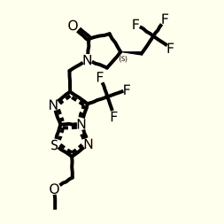 COCc1nn2c(C(F)(F)F)c(CN3C[C@H](CC(F)(F)F)CC3=O)nc2s1